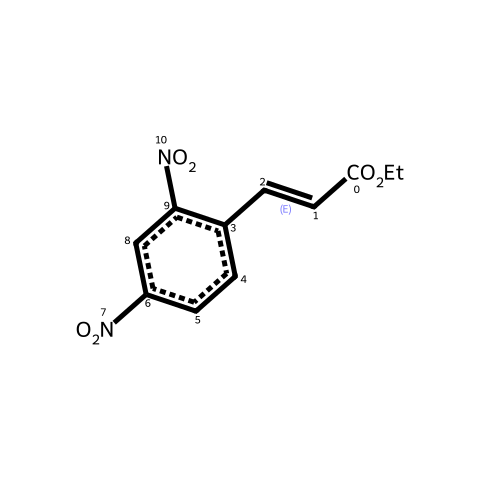 CCOC(=O)/C=C/c1ccc([N+](=O)[O-])cc1[N+](=O)[O-]